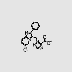 COC(=O)c1ncnn1Cc1c(-c2ccccc2)nc2ccc(Cl)cn12